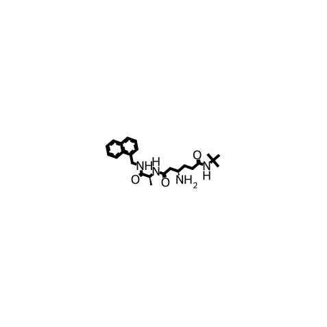 C[C@H](NC(=O)C[C@@H](N)CCC(=O)NC(C)(C)C)C(=O)NCc1cccc2ccccc12